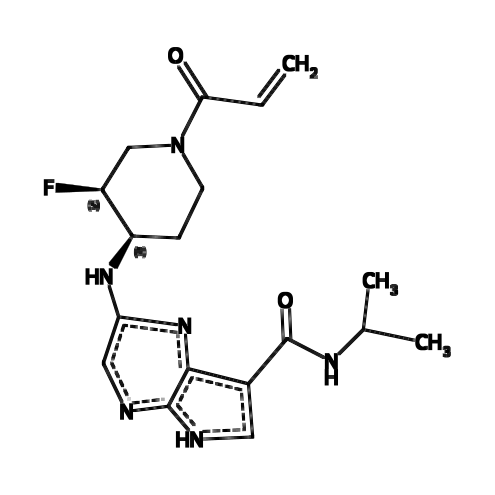 C=CC(=O)N1CC[C@@H](Nc2cnc3[nH]cc(C(=O)NC(C)C)c3n2)[C@@H](F)C1